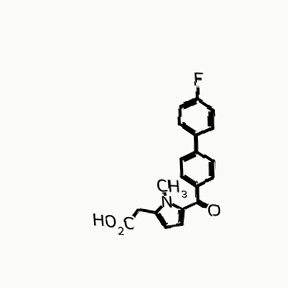 Cn1c(CC(=O)O)ccc1C(=O)c1ccc(-c2ccc(F)cc2)cc1